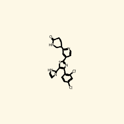 O=C1CCC(c2cc(-c3nc(-c4ccc(Cl)cc4Cl)c(-c4ncc[nH]4)s3)ccn2)CN1